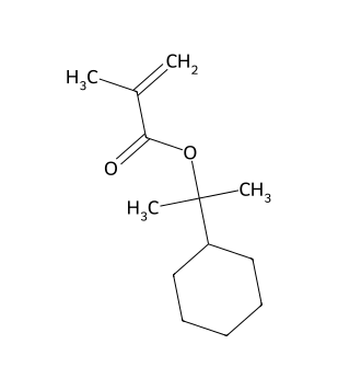 C=C(C)C(=O)OC(C)(C)C1CCCCC1